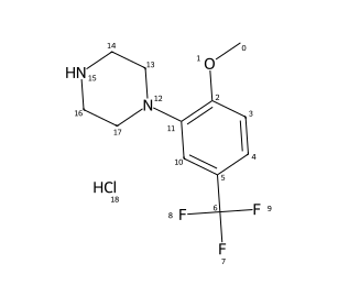 COc1ccc(C(F)(F)F)cc1N1CCNCC1.Cl